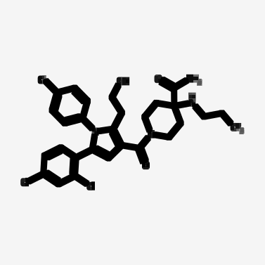 NC(=O)C1(NCCC(F)(F)F)CCN(C(=O)c2cc(-c3ccc(Cl)cc3Cl)n(-c3ccc(Cl)cc3)c2CCO)CC1